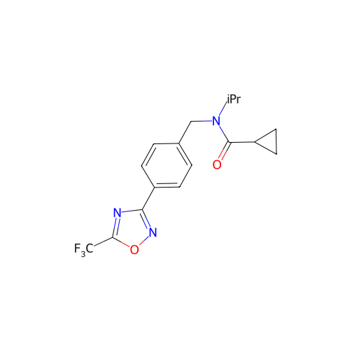 CC(C)N(Cc1ccc(-c2noc(C(F)(F)F)n2)cc1)C(=O)C1CC1